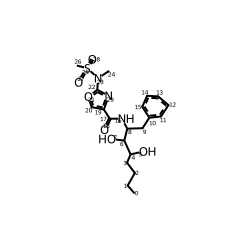 CCCCC(O)C(O)C(Cc1ccccc1)NC(=O)c1coc(N(C)S(C)(=O)=O)n1